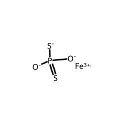 [Fe+3].[O-]P([O-])(=S)[S-]